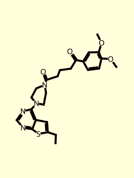 CCc1cc2c(N3CCN(C(=O)CCCC(=O)c4ccc(OC)c(OC)c4)CC3)ncnc2s1